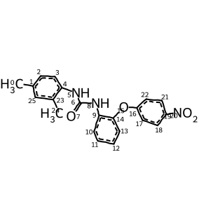 Cc1ccc(NC(=O)Nc2ccccc2Oc2ccc([N+](=O)[O-])cc2)c(C)c1